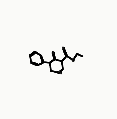 CCOC(=O)C1CNCC(c2ccccc2)C1=O